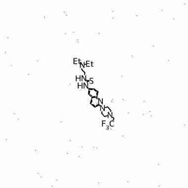 CCN(CC)CCNC(=S)Nc1ccc2nc(N3CCN(CC(F)(F)F)CC3)ccc2c1